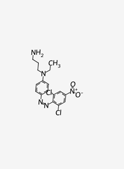 CCN(CCCN)c1ccc(/N=N\c2c(Cl)cc([N+](=O)[O-])cc2Cl)cc1